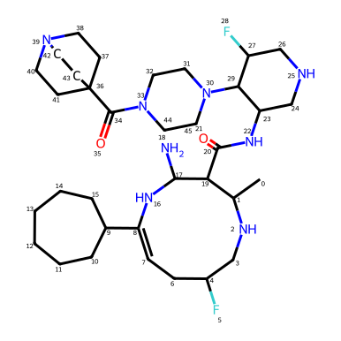 CC1NCC(F)C/C=C(/C2CCCCCC2)NC(N)C1C(=O)NC1CNCC(F)C1N1CCN(C(=O)C23CCN(CC2)CC3)CC1